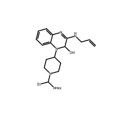 C=CCNC1=Nc2ccccc2N(C2CCN(C(CC)CCCCCC)CC2)C1O